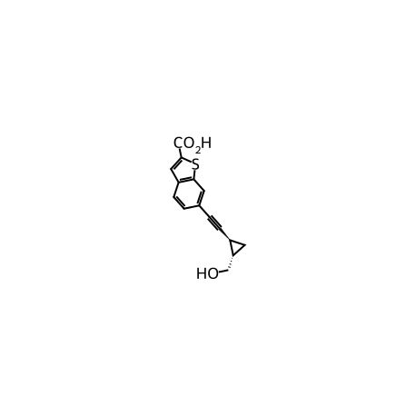 O=C(O)c1cc2ccc(C#C[C@H]3C[C@@H]3CO)cc2s1